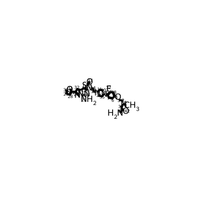 CN(CCOc1ccc(N2CCN(CCn3c(=O)sc4c3nc(N)n3nc(-c5ccco5)cc43)CC2)c(F)c1)CC(N)=O